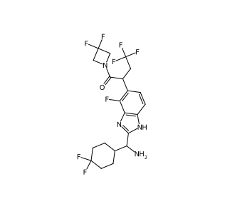 NC(c1nc2c(F)c(C(CC(F)(F)F)C(=O)N3CC(F)(F)C3)ccc2[nH]1)C1CCC(F)(F)CC1